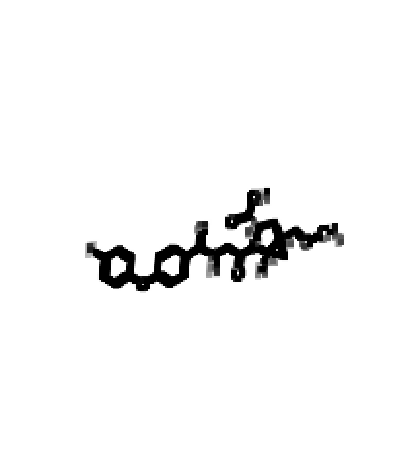 COC[C@@]12C[C@@H]1N(C(=O)CNC(=O)c1ccc(Oc3ccc(F)cc3)cc1)[C@H](C(=O)O)C2